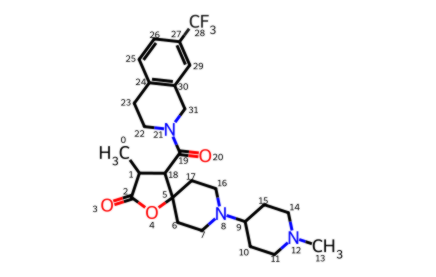 CC1C(=O)OC2(CCN(C3CCN(C)CC3)CC2)C1C(=O)N1CCc2ccc(C(F)(F)F)cc2C1